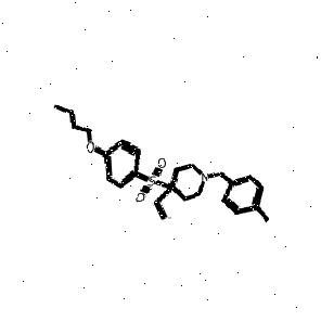 [CH2]CC1(S(=O)(=O)c2ccc(OCCCC)cc2)CCN(Cc2ccc(C)cc2)CC1